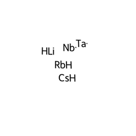 [CsH].[LiH].[Nb].[RbH].[Ta]